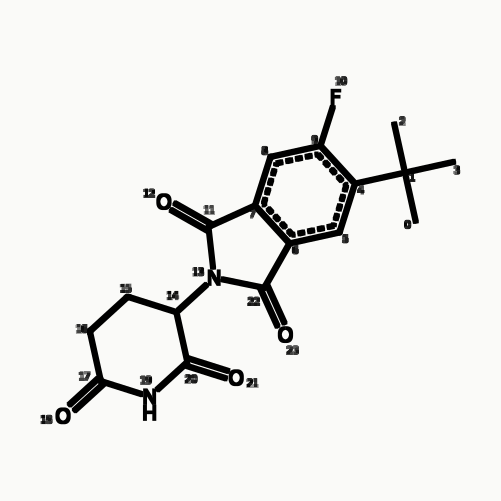 CC(C)(C)c1cc2c(cc1F)C(=O)N(C1CCC(=O)NC1=O)C2=O